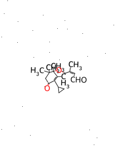 CC1=C(C2CC2)C(=O)CC(C)(C)C1(C)OC/C(C)=C\C=O